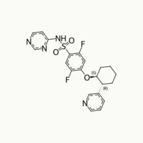 O=S(=O)(Nc1ccncn1)c1cc(F)c(O[C@H]2CCCC[C@@H]2c2cccnc2)cc1F